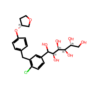 OC[C@@H](O)[C@@H](O)[C@H](O)[C@@H](O)C(O)c1ccc(Cl)c(Cc2ccc(O[C@@H]3CCOC3)cc2)c1